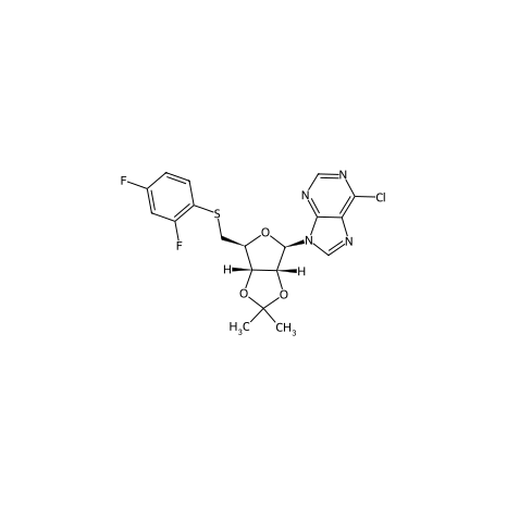 CC1(C)O[C@@H]2[C@H](O1)[C@@H](CSc1ccc(F)cc1F)O[C@H]2n1cnc2c(Cl)ncnc21